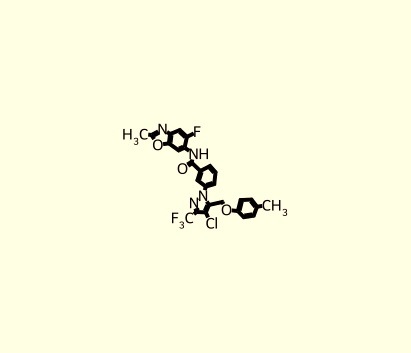 Cc1ccc(OCc2c(Cl)c(C(F)(F)F)nn2-c2cccc(C(=O)Nc3cc4oc(C)nc4cc3F)c2)cc1